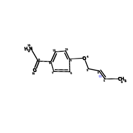 C/C=C/COc1ccc(C(N)=O)cc1